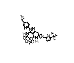 C/N=C/c1ccc(-n2nc3c(c2NC(=O)CS(C)(=O)=O)C(=O)NC2(C3)CN(c3nc(C(F)(F)F)cs3)C2)nc1